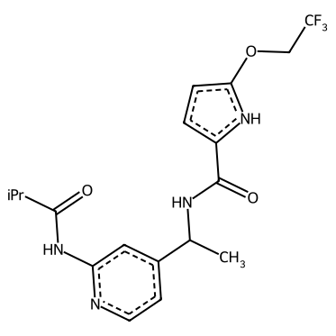 CC(C)C(=O)Nc1cc(C(C)NC(=O)c2ccc(OCC(F)(F)F)[nH]2)ccn1